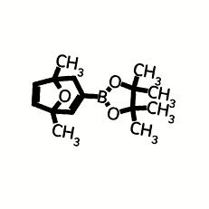 CC12C=CC(C)(CC(B3OC(C)(C)C(C)(C)O3)=C1)O2